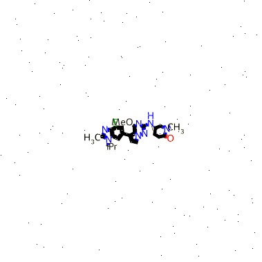 COc1nc(N[C@H]2CCC(=O)N(C)C2)nn2ccc(-c3cc(F)c4nc(C)n(C(C)C)c4c3)c12